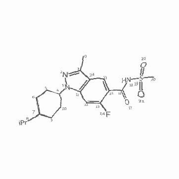 Cc1nn(C2CCC(C(C)C)CC2)c2cc(F)c(C(=O)NS(C)(=O)=O)cc12